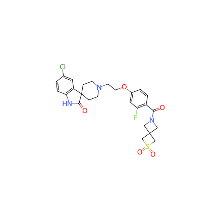 O=C(c1ccc(OCCN2CCC3(CC2)C(=O)Nc2ccc(Cl)cc23)cc1F)N1CC2(C1)CS(=O)(=O)C2